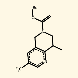 C=C(OC(C)(C)C)N1Cc2cc(C(F)(F)F)cnc2C(C)C1